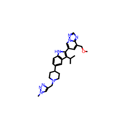 COCc1cc(-c2[nH]c3ccc(C4CCN(Cc5cn(C)nn5)CC4)cc3c2C(C)C)cn2ncnc12